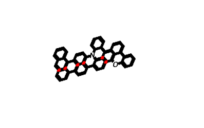 C1=CC(c2ccc3c4c(cccc24)-c2ccccc2O3)C(N(c2ccc(-c3cccc4ccccc34)cc2)c2ccccc2-c2ccc(-c3ccccc3)cc2)C=C1